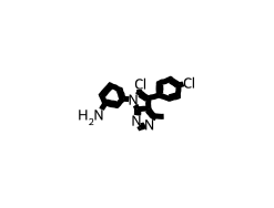 Cc1ncnc2c1c(-c1ccc(Cl)cc1)c(Cl)n2-c1cccc(N)c1